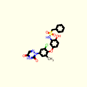 Cc1cc(-n2ncc(=O)[nH]c2=O)cc(Cl)c1Oc1ccc(O)c(NS(=O)(=O)Cc2ccccc2)c1